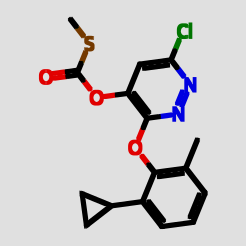 CSC(=O)Oc1cc(Cl)nnc1Oc1c(C)cccc1C1CC1